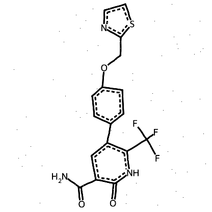 NC(=O)c1cc(-c2ccc(OCc3nccs3)cc2)c(C(F)(F)F)[nH]c1=O